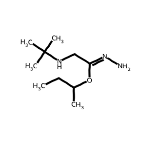 CCC(C)O/C(CNC(C)(C)C)=N\N